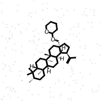 C=C(C)[C@@H]1CC[C@]2(COC3CCCCO3)CC[C@]3(C)[C@H](CC[C@@H]4[C@@]5(C)CC[C@H](C)C(C)(C)[C@@H]5CC[C@]43C)[C@@H]12